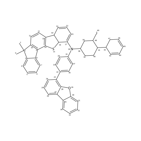 CC1(C)c2ccccc2-c2c1ccc1c2SC2C(N(c3ccc(-c4cccc5c4oc4ccccc45)cc3)C3CCC(C4C=CC=CC4)C(I)C3)=CC=CC12